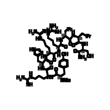 CN[C@@H](Cc1ccc(O)cc1)C(=O)N[C@@H](CCCNC(=N)N)C(=O)N[C@@H](Cc1c[nH]cn1)C(=O)N[C@@H](CCCNC(=N)N)C(=O)N[C@@H](CCCNC(=N)N)C(=O)N[C@@H](CC(C)C)C(=O)N[C@@H](CC(C)C)C(=O)N[C@@H](CO)C(N)=O